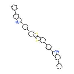 c1ccc(-c2ccc3[nH]c(-c4ccc(-c5ccc6c(c5)sc5c7ccc(-c8ccc(-c9cc%10cc(-c%11ccccc%11)ccc%10[nH]9)cc8)cc7sc65)cc4)cc3c2)cc1